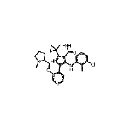 Cc1c(Cl)cccc1Nc1c(-c2ccncc2OCC2CCCN2C)[nH]c2c1C(=O)NCC21CC1